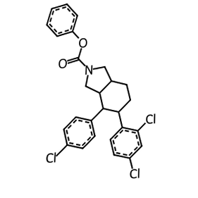 O=C(Oc1ccccc1)N1CC2CCC(c3ccc(Cl)cc3Cl)C(c3ccc(Cl)cc3)C2C1